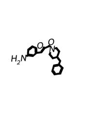 Nc1ccc2oc(C(=O)N3CCC(Cc4ccccc4)CC3)cc2c1